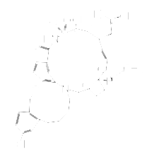 CO[C@H]1/C=C/[C@H](C[C@H](C)O)C[C@@H](C)S(=O)(=O)NC(=O)c2ccc3c(c2)N(CCCCc2cc(Cl)ccc2CO3)C[C@@H]2CC[C@H]21